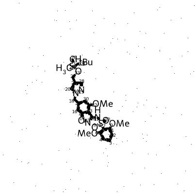 COc1cccc(OC)c1S(=O)(=O)Nc1noc2cc(Cn3cc(CO[Si](C)(C)C(C)(C)C)cn3)cc(OC)c12